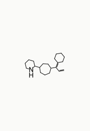 C=CC(=C1CCCCC1)C1CCCC(C2CCCCN2)CC1